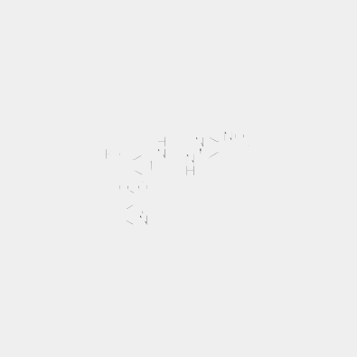 O=C(Oc1cc(NCCNc2ccc([N+](=O)[O-])cn2)cc(C(F)(F)F)c1)c1cccnc1